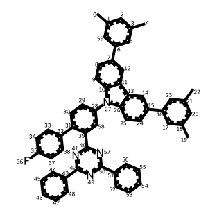 Cc1cc(C)cc(-c2ccc3c(c2)c2cc(-c4cc(C)cc(C)c4)ccc2n3-c2ccc(-c3ccc(F)cc3)c(-c3nc(-c4ccccc4)nc(-c4ccccc4)n3)c2)c1